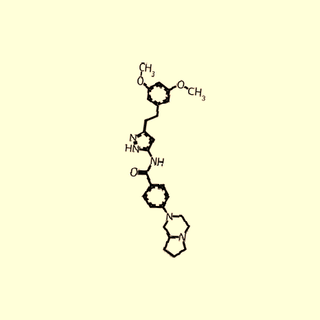 COc1cc(CCc2cc(NC(=O)c3ccc(N4CCN5CCCC5C4)cc3)[nH]n2)cc(OC)c1